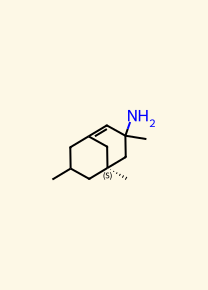 CC1CC2=CC(C)(N)C[C@](C)(C2)C1